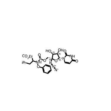 CCOC(=O)C(CC(C)C)N(Oc1ccccc1)[PH](=O)OC[C@@]1(N=[N+]=[N-])O[C@@H](n2ccc(=O)[nH]c2=O)[C@H](O)[C@@H]1O